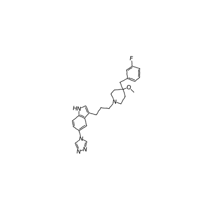 COC1(Cc2cccc(F)c2)CCN(CCCc2c[nH]c3ccc(-n4cnnc4)cc23)CC1